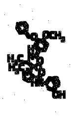 COc1ccc(C(=O)N[C@H](C(=O)N2CCC[C@H]2C(=O)N[C@H](C=O)CC(=O)O)C(C)C)cc1OCc1ccccc1